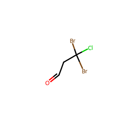 O=CCC(Cl)(Br)Br